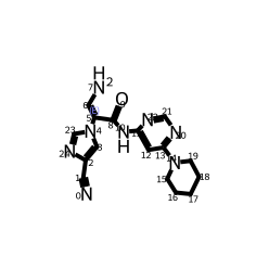 N#Cc1cn(/C(=C/N)C(=O)Nc2cc(N3CCCCC3)ncn2)cn1